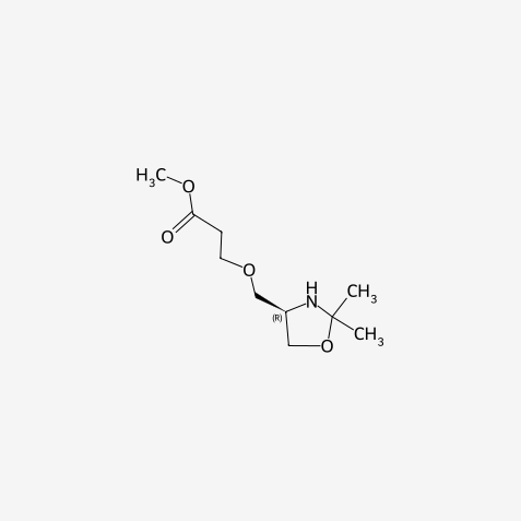 COC(=O)CCOC[C@@H]1COC(C)(C)N1